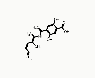 C=C/C=C\C(C)=C(/C)NC(=C)c1cc(O)c(C(=O)O)cc1O